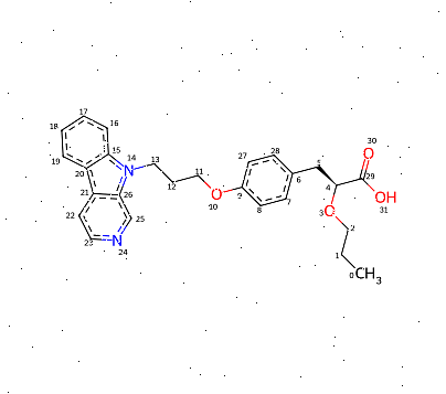 CCCO[C@@H](Cc1ccc(OCCCn2c3ccccc3c3ccncc32)cc1)C(=O)O